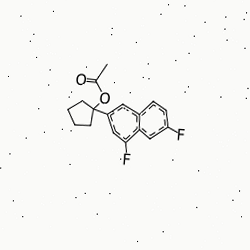 CC(=O)OC1(c2cc(F)c3cc(F)ccc3c2)CCCC1